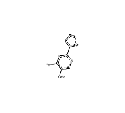 [2H]c1nc(-c2ccco2)ncc1OC